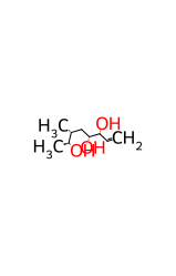 C=C[C@@H](O)[C@H](O)C[C@@H](C)[C@H](C)O